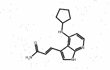 NC(=O)/C=C/c1c[nH]c2nccc(NC3CCCC3)c12